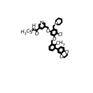 CSNC(=O)c1cncc(COc2cc(OCc3cccc(-c4ccc5c(c4)OCCO5)c3C)c(Cl)cc2CN2CCCCC2)c1